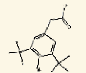 CC(C)(C)c1cc(CC([O])=O)cc(C(C)(C)C)c1O